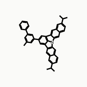 Cc1cc(-c2ccccc2)cc(-c2cc3c4cc5cc(C(C)C)ccc5cc4n4c5cc6ccc(C(C)C)cc6cc5c(c2)c34)c1